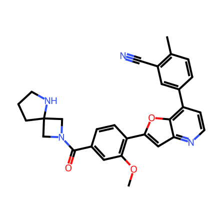 COc1cc(C(=O)N2CC3(CCCN3)C2)ccc1-c1cc2nccc(-c3ccc(C)c(C#N)c3)c2o1